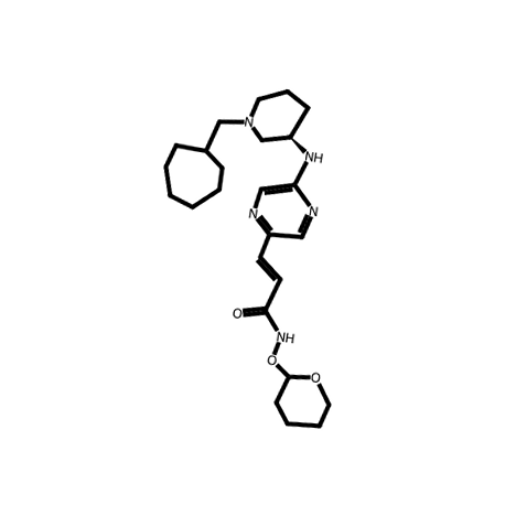 O=C(/C=C/c1cnc(N[C@@H]2CCCN(CC3CCCCCC3)C2)cn1)NOC1CCCCO1